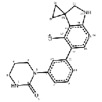 O=C1NCCCN1c1cccc(-c2cnc3c(c2Cl)C2(CC2)CN3)c1